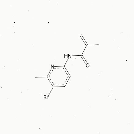 C=C(C)C(=O)Nc1ccc(Br)c(C)n1